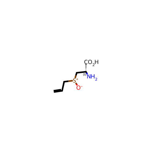 C=CC[S+]([O-])C[C@@H](N)C(=O)O